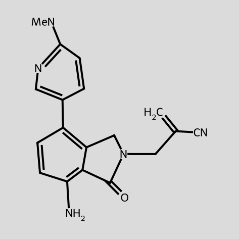 C=C(C#N)CN1Cc2c(-c3ccc(NC)nc3)ccc(N)c2C1=O